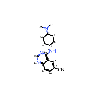 CN(C)[C@H]1CC[C@H](Nc2ncnc3ccc(C#N)cc23)CC1